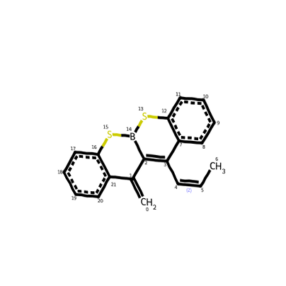 C=C1C2=C(/C=C\C)c3ccccc3SB2Sc2ccccc21